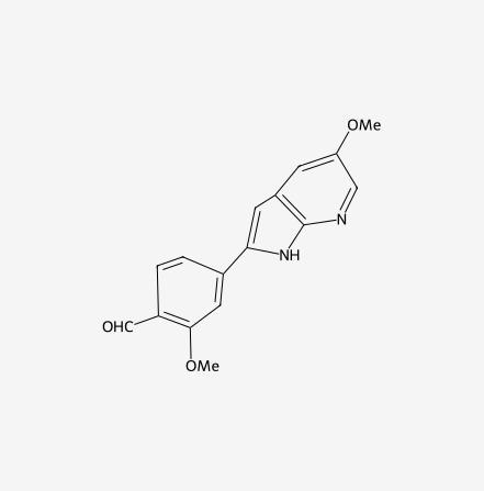 COc1cnc2[nH]c(-c3ccc(C=O)c(OC)c3)cc2c1